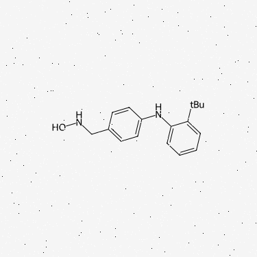 CC(C)(C)c1ccccc1Nc1ccc(CNO)cc1